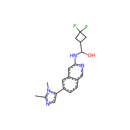 Cc1ncc(-c2ccc3cnc(NC(O)C4CC(F)(F)C4)cc3c2)n1C